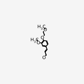 COCCOc1ccc(C=CC=O)cc1OC